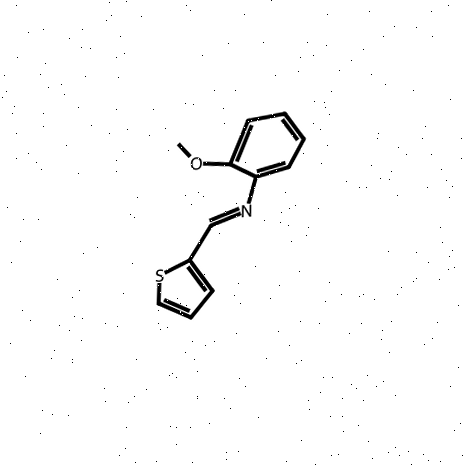 COc1ccccc1N=Cc1cccs1